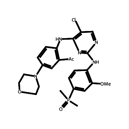 COc1cc(P(C)(C)=O)ccc1Nc1ncc(Cl)c(Nc2ccc(N3CCOCC3)cc2C(C)=O)n1